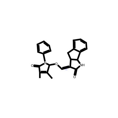 CC1=C(C)C(O/C=C2/C(=O)NC3c4ccccc4CC23)N(c2ccccc2)C1=O